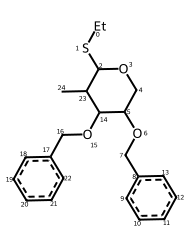 CCSC1OCC(OCc2ccccc2)C(OCc2ccccc2)C1C